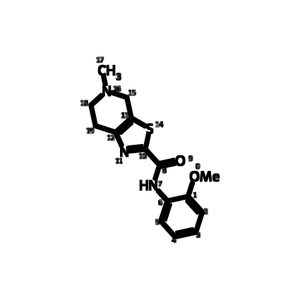 COc1ccccc1NC(=O)c1nc2c(s1)CN(C)CC2